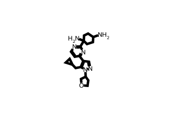 NC1CCC(N)(c2nccc(-c3cnn(C4CCOC4)c3CC3CC3)n2)CC1